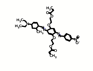 C=CC(=O)OCCOC1=CC(/N=N/C2C=CC(N(CC)CC)CC2C)C(OCCOC(=O)C=C)C=C1/N=N/c1ccc([N+](=O)[O-])cc1